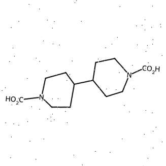 O=C(O)N1CCC(C2CCN(C(=O)O)CC2)CC1